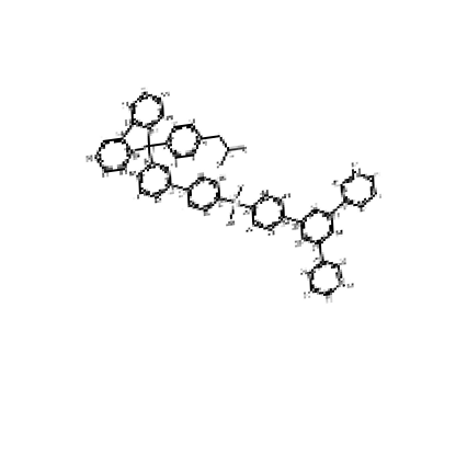 CC(C)Cc1ccc(C2(c3cccc(-c4ccc([Si](C)(C)c5ccc(-c6cc(-c7cccnc7)cc(-c7cccnc7)c6)cc5)cc4)c3)c3ccccc3-c3ccccc32)cc1